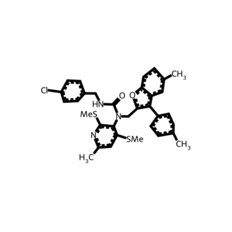 CSc1cc(C)nc(SC)c1N(Cc1oc2ccc(C)cc2c1-c1ccc(C)cc1)C(=O)NCc1ccc(Cl)cc1